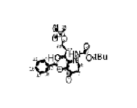 CC(C)(C)OC(=O)Nn1ccc(=O)c(OCc2ccccc2)c1C(O)CCOS(C)(=O)=O